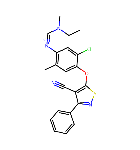 CCN(C)/C=N\c1cc(Cl)c(Oc2snc(-c3ccccc3)c2C#N)cc1C